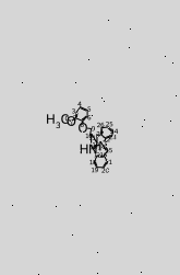 COc1ccccc1OCCn1c(=N)n(Cc2ccccc2)c2ccccc21